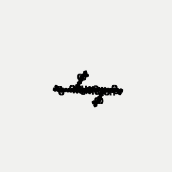 CCC(CC)COC(=O)CCCCCCC(O)CN(CCCSSCCN1CCN(CCOC(=O)CCCN(CC(O)CCCCC(=O)OCC(CC)CC)CC(O)CCCCC(=O)OCC(CC)CC)CC1)CC(O)CCCCCCC(=O)OCC(CC)CC